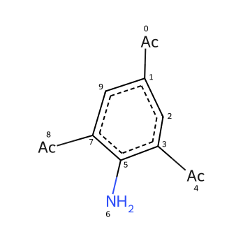 CC(=O)c1cc(C(C)=O)c(N)c(C(C)=O)c1